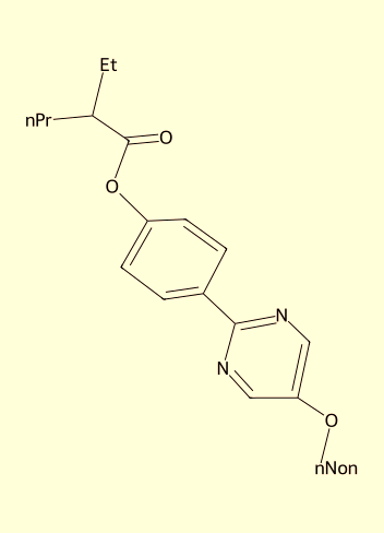 CCCCCCCCCOc1cnc(-c2ccc(OC(=O)C(CC)CCC)cc2)nc1